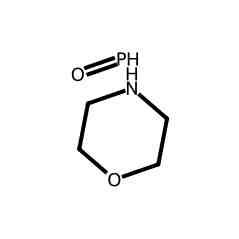 C1COCCN1.O=P